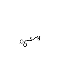 COC(=O)CCSCCN(C)C